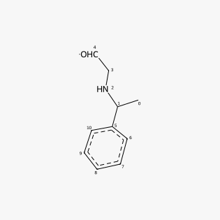 CC(NC[C]=O)c1ccccc1